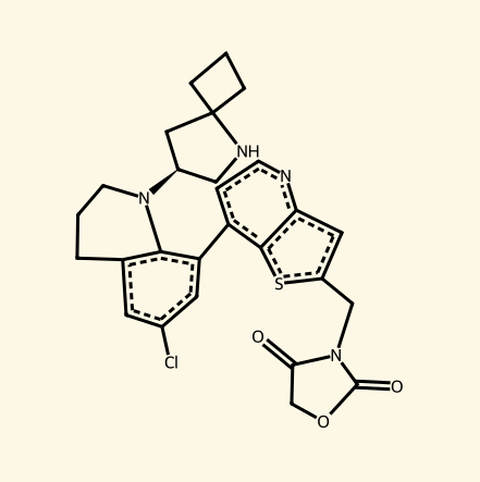 O=C1COC(=O)N1Cc1cc2nccc(-c3cc(Cl)cc4c3N([C@@H]3CNC5(CCC5)C3)CCC4)c2s1